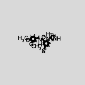 COc1ccc(CNC(=O)c2cc(C#N)ccc2N[C@@H]2CCNC2)cc1OC